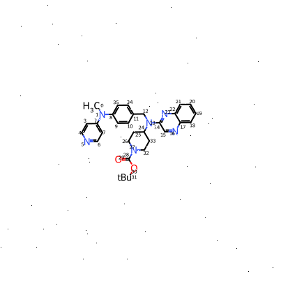 CN(c1ccncc1)c1ccc(CN(c2cnc3ccccc3n2)C2CCN(C(=O)OC(C)(C)C)CC2)cc1